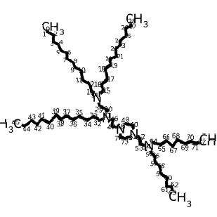 CCCCCCCCCCCCCCN(CCCCCCCCCCCCCC)CCN(CCCCCCCCCCCCCC)CCN1CCN(CCN(CCCCCCCCC)CCCCCCCCC)CC1